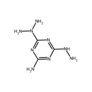 NNc1nc(N)nc(N(N)N)n1